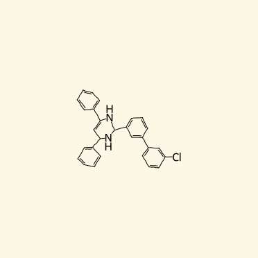 Clc1cccc(-c2cccc(C3NC(c4ccccc4)=CC(c4ccccc4)N3)c2)c1